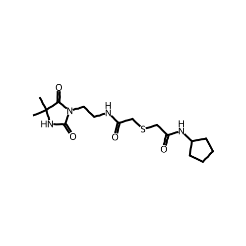 CC1(C)NC(=O)N(CCNC(=O)CSCC(=O)NC2CCCC2)C1=O